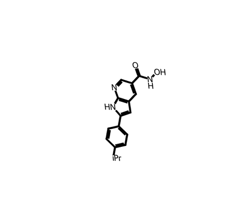 CC(C)c1ccc(-c2cc3cc(C(=O)NO)cnc3[nH]2)cc1